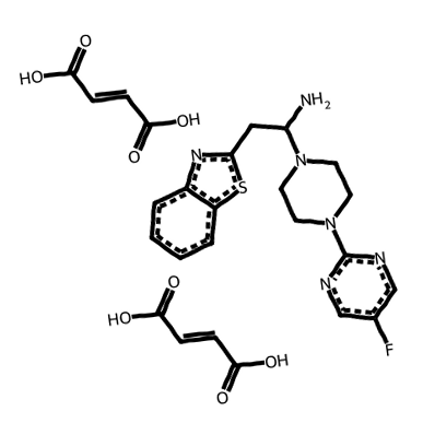 NC(Cc1nc2ccccc2s1)N1CCN(c2ncc(F)cn2)CC1.O=C(O)C=CC(=O)O.O=C(O)C=CC(=O)O